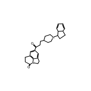 O=C(CCC1CCN(C2CCC3C=CC=CC32)CC1)c1cc2c3c(c1)CCN3C(=O)CC2